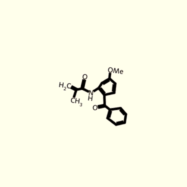 C=C(C)C(=O)Nc1cc(OC)ccc1C(=O)c1ccccc1